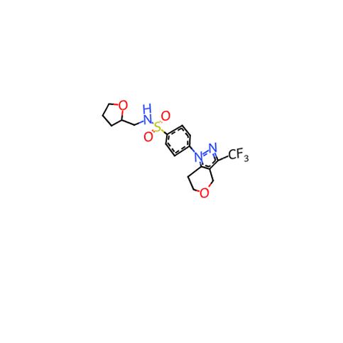 O=S(=O)(NCC1CCCO1)c1ccc(-n2nc(C(F)(F)F)c3c2CCOC3)cc1